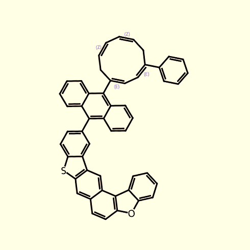 C1=C\C/C(c2ccccc2)=C\C=C(\c2c3ccccc3c(-c3ccc4sc5cc6ccc7oc8ccccc8c7c6cc5c4c3)c3ccccc23)C\C=C/1